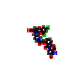 O=C1CCC(N2C(=O)c3cccc(OCC(=O)N4CCC(CN5C(O)C=C(Oc6cc(Cl)cc(Cl)c6)C5O)CC4)c3C2=O)C(=O)N1